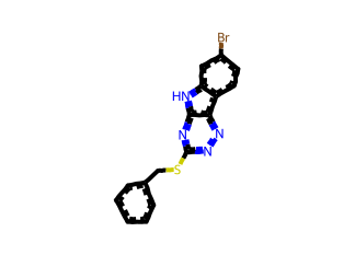 Brc1ccc2c(c1)[nH]c1nc(SCc3ccccc3)nnc12